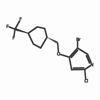 FC(F)(F)[C@H]1CC[C@H](COc2cc(Cl)ncc2Br)CC1